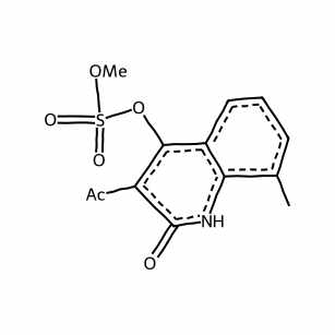 COS(=O)(=O)Oc1c(C(C)=O)c(=O)[nH]c2c(C)cccc12